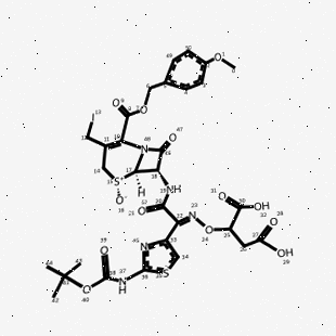 COc1ccc(COC(=O)C2=C(CI)C[S@@+]([O-])[C@@H]3[C@H](NC(=O)C(=NOC(CC(=O)O)C(=O)O)c4csc(NC(=O)OC(C)(C)C)n4)C(=O)N23)cc1